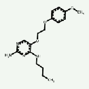 CCCCNc1nc(N)ncc1OCCOc1ccc(OC)cc1